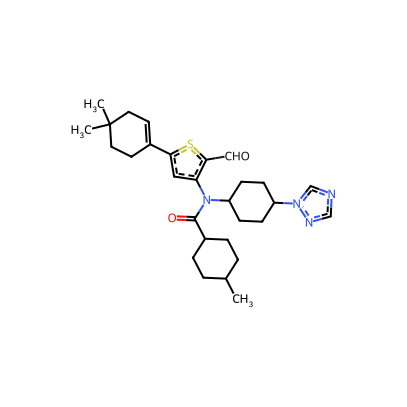 CC1CCC(C(=O)N(c2cc(C3=CCC(C)(C)CC3)sc2C=O)C2CCC(n3cncn3)CC2)CC1